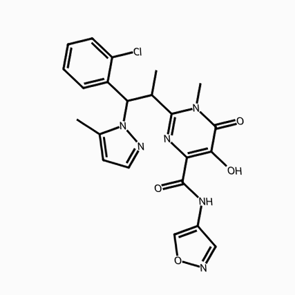 Cc1ccnn1C(c1ccccc1Cl)C(C)c1nc(C(=O)Nc2cnoc2)c(O)c(=O)n1C